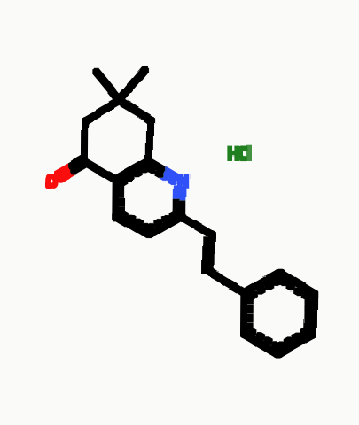 CC1(C)CC(=O)c2ccc(C=Cc3ccccc3)nc2C1.Cl